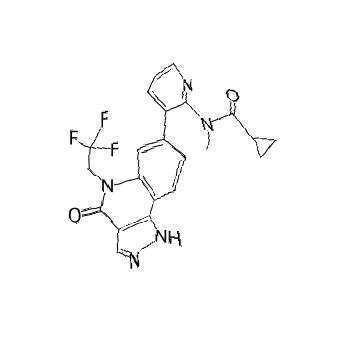 CN(C(=O)C1CC1)c1ncccc1-c1ccc2c3[nH]ncc3c(=O)n(CC(F)(F)F)c2c1